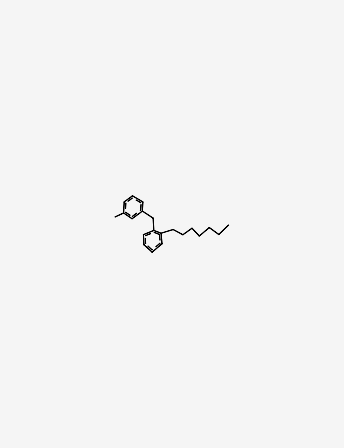 CCCCCCCc1ccccc1Cc1cccc(C)c1